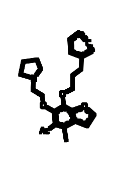 CC(=O)c1c(OCCN2CCCC2)c(OCCCc2ccccc2)c2occc2c1C